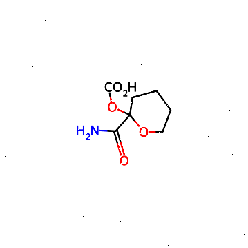 NC(=O)C1(OC(=O)O)CCCCO1